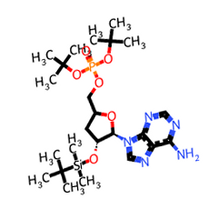 CC(C)(C)OP(=O)(OCC1C[C@@H](O[Si](C)(C)C(C)(C)C)[C@H](n2cnc3c(N)ncnc32)O1)OC(C)(C)C